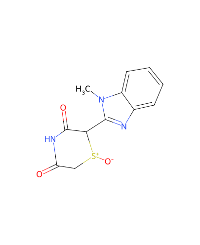 Cn1c(C2C(=O)NC(=O)C[S+]2[O-])nc2ccccc21